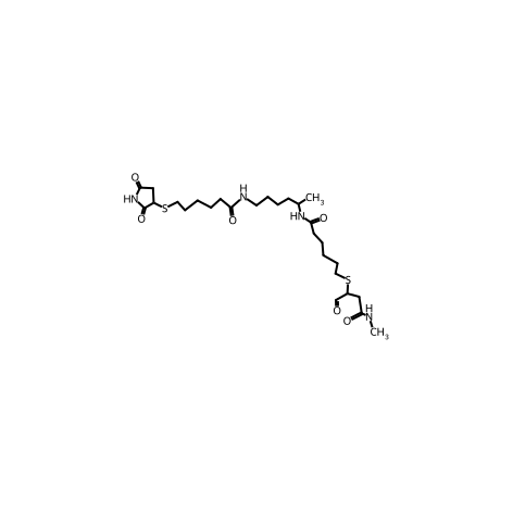 CNC(=O)CC(C=O)SCCCCCC(=O)NC(C)CCCCNC(=O)CCCCCSC1CC(=O)NC1=O